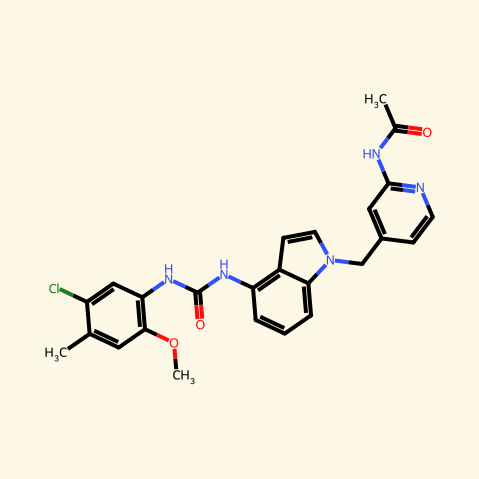 COc1cc(C)c(Cl)cc1NC(=O)Nc1cccc2c1ccn2Cc1ccnc(NC(C)=O)c1